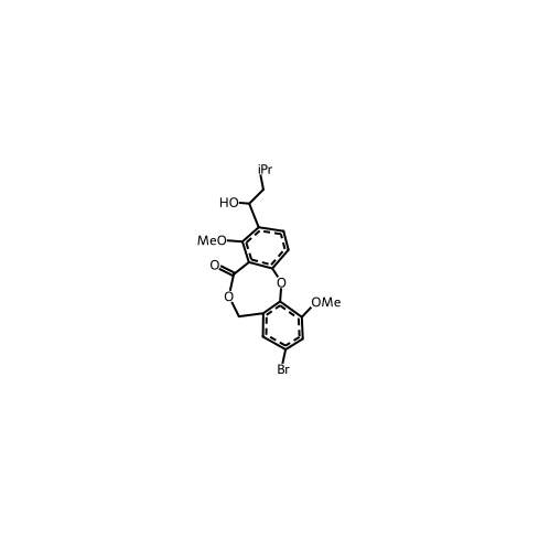 COc1cc(Br)cc2c1Oc1ccc(C(O)CC(C)C)c(OC)c1C(=O)OC2